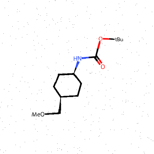 COC[C@H]1CC[C@@H](NC(=O)OC(C)(C)C)CC1